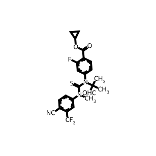 CN(C(=S)N(c1ccc(C(=O)OC2CC2)c(F)c1)C(C)(C)C=O)c1ccc(C#N)c(C(F)(F)F)c1